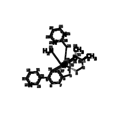 C[C@H]1CC[C@@]2(Cc3ccc(-c4cccnc4)cc3[C@]23N=C(N)N(Cc2ncccn2)C3=O)C[C@@H]1C